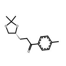 Cc1ccc(C(=O)CC[C@@H]2COC(C)(C)O2)cc1